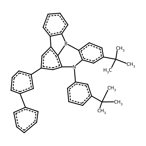 CC(C)(C)c1cccc(N2c3cc(C(C)(C)C)ccc3B3c4ccccc4-c4cc(-c5cccc(-c6ccccc6)c5)cc2c43)c1